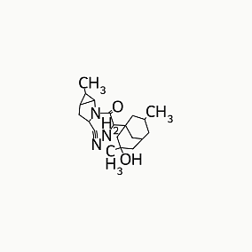 CC1CC2CC(C)(O)CC(C(N)C(=O)N3C(C#N)CC4C(C)C43)(C1)C2